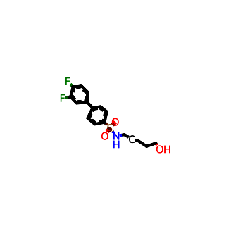 O=S(=O)(NCCCCCO)c1ccc(-c2ccc(F)c(F)c2)cc1